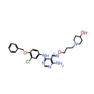 Nc1ncnc(Nc2ccc(OCc3ccccc3)c(Cl)c2)c1/C=N/OCCCN1CCC(O)CC1